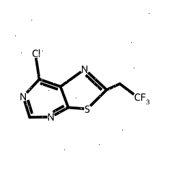 FC(F)(F)Cc1nc2c(Cl)ncnc2s1